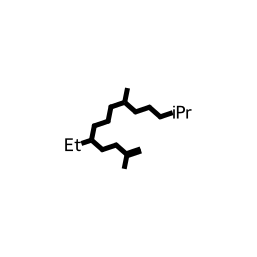 C=C(C)CCC(CC)CCCC(C)CCCC(C)C